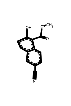 COC(=O)c1c(O)ccc2cc(C#N)ccc12